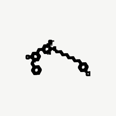 O=c1cc(Cc2cnc(SCCCCCCCCc3ccc(Cl)cc3)[n+]([O-])c2)ccn1Cc1ccccc1